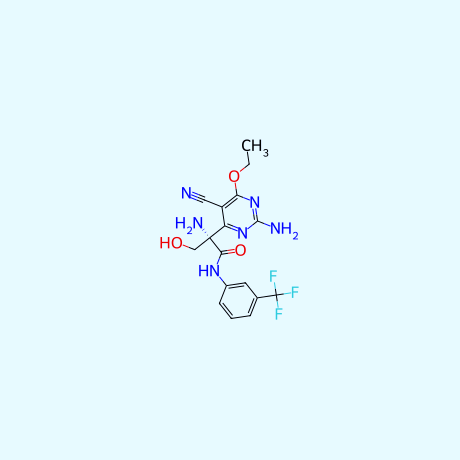 CCOc1nc(N)nc([C@](N)(CO)C(=O)Nc2cccc(C(F)(F)F)c2)c1C#N